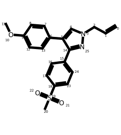 C=CCn1cc(-c2ccc(OC)cc2)c(-c2ccc(S(C)(=O)=O)cc2)n1